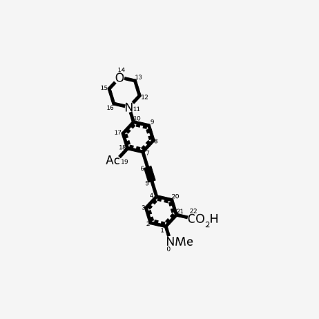 CNc1ccc(C#Cc2ccc(N3CCOCC3)cc2C(C)=O)cc1C(=O)O